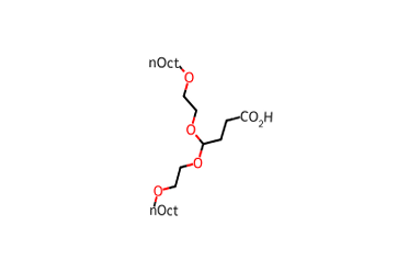 CCCCCCCCOCCOC(CCC(=O)O)OCCOCCCCCCCC